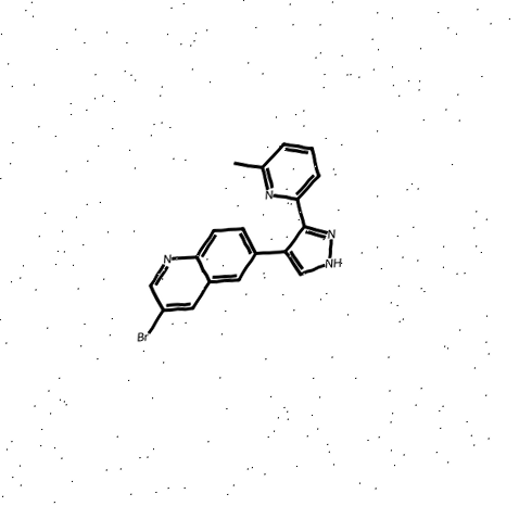 Cc1cccc(-c2n[nH]cc2-c2ccc3ncc(Br)cc3c2)n1